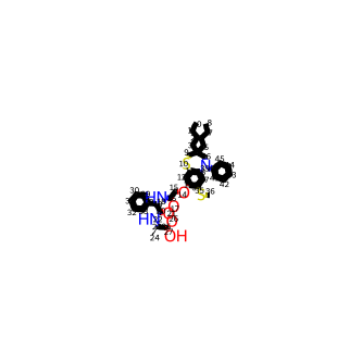 CCCCC1(CCCC)CSc2cc(OCC(=O)NC(C(=O)N[C@@H](C)C(=O)O)c3ccccc3)c(SC)cc2N(c2ccccc2)C1